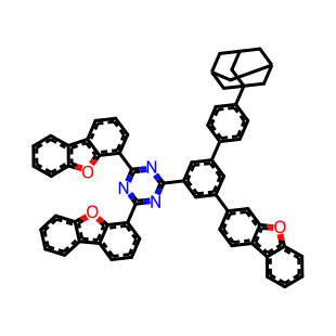 c1ccc2c(c1)oc1cc(-c3cc(-c4ccc(C56CC7CC(CC(C7)C5)C6)cc4)cc(-c4nc(-c5cccc6c5oc5ccccc56)nc(-c5cccc6c5oc5ccccc56)n4)c3)ccc12